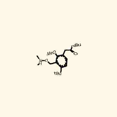 CCCCC(=O)Cc1ccc(C(C)(C)C)c(CO[SiH](C)C)c1OC